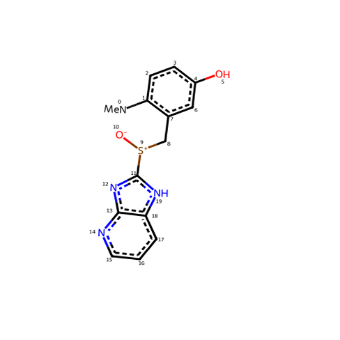 CNc1ccc(O)cc1C[S+]([O-])c1nc2ncccc2[nH]1